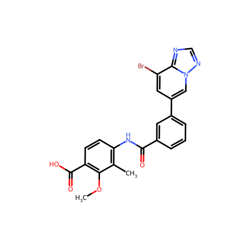 COc1c(C(=O)O)ccc(NC(=O)c2cccc(-c3cc(Br)c4ncnn4c3)c2)c1C